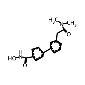 CN(C)C(=O)Cc1cccc(-c2ccc(C(=O)NO)cc2)c1